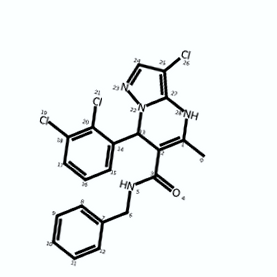 CC1=C(C(=O)NCc2ccccc2)C(c2cccc(Cl)c2Cl)n2ncc(Cl)c2N1